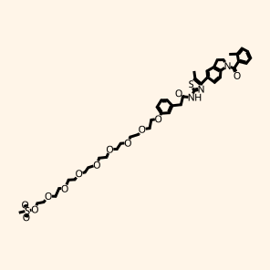 Cc1ccccc1C(=O)N1CCc2cc(-c3nc(NC(=O)Cc4cccc(OCCOCCOCCOCCOCCOCCOCCOCCOS(C)(=O)=O)c4)sc3C)ccc21